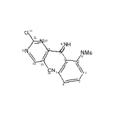 CNc1ccccc1C(=N)c1nc(Cl)ncc1C#N